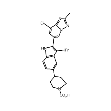 Cc1nc2c(Cl)cc(-c3[nH]c4ccc(C5CCN(C(=O)O)CC5)cc4c3C(C)C)cn2n1